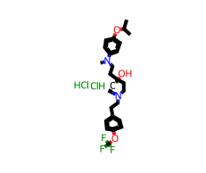 CC(C)Oc1ccc(N(C)CCC2(O)CCN(CCc3ccc(OC(F)(F)F)cc3)CC2)cc1.Cl.Cl